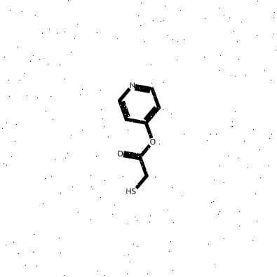 O=C(CS)Oc1ccncc1